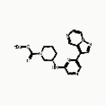 CC(C)(C)OC(=O)N1CCC[C@@H](Nc2cncc(-c3cnn4ccncc34)n2)C1